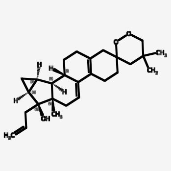 C=CC[C@]1(O)[C@H]2C[C@H]2[C@H]2[C@@H]3CCC4=C(CCC5(C4)CC(C)(C)COO5)C3=CC[C@@]21C